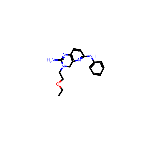 CCOCCN1Cc2nc(Nc3ccccc3)ccc2N=C1N